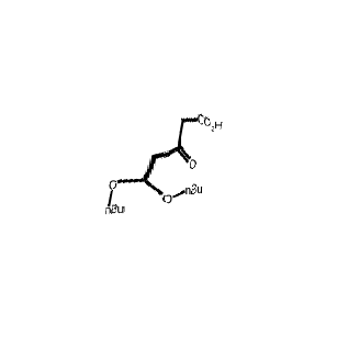 CCCCOC(CC(=O)CC(=O)O)OCCCC